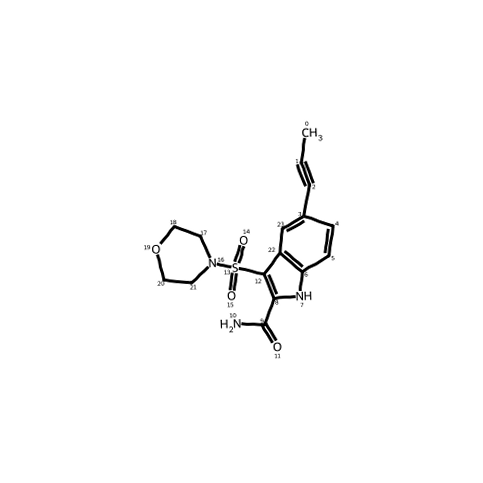 CC#Cc1ccc2[nH]c(C(N)=O)c(S(=O)(=O)N3CCOCC3)c2c1